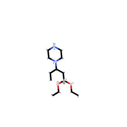 CCO[SiH](CC(CC)N1CCNCC1)OCC